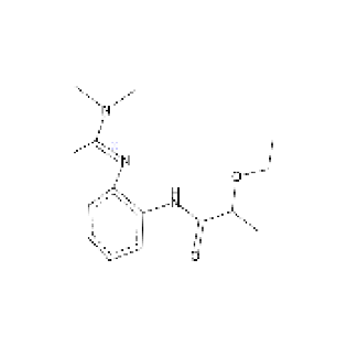 CCOC(C)C(=O)Nc1ccccc1/N=C(\C)N(C)C